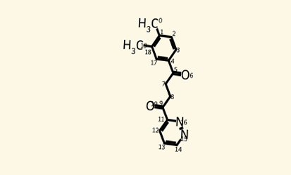 Cc1ccc(C(=O)CCC(=O)c2cccnn2)cc1C